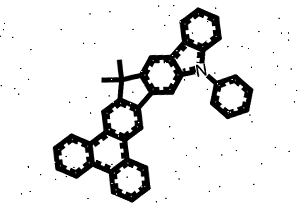 CC1(C)c2cc3c4ccccc4c4ccccc4c3cc2-c2cc3c(cc21)c1ccccc1n3-c1ccccc1